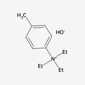 CC[N+](CC)(CC)c1ccc(C)cc1.[OH-]